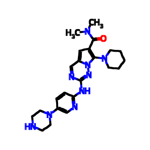 CN(C)C(=O)c1cc2cnc(Nc3ccc(N4CCNCC4)cn3)nn2c1N1CCCCC1